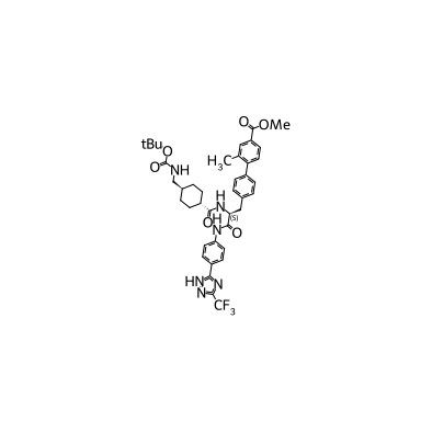 COC(=O)c1ccc(-c2ccc(C[C@H](NC(=O)[C@H]3CC[C@H](CNC(=O)OC(C)(C)C)CC3)C(=O)Nc3ccc(-c4nc(C(F)(F)F)n[nH]4)cc3)cc2)c(C)c1